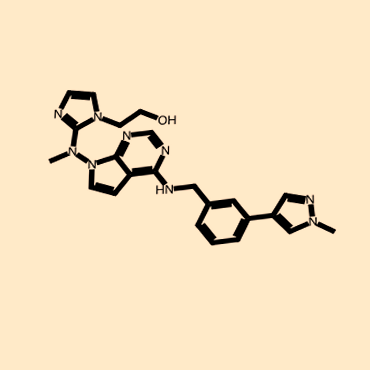 CN(c1nccn1CCO)n1ccc2c(NCc3cccc(-c4cnn(C)c4)c3)ncnc21